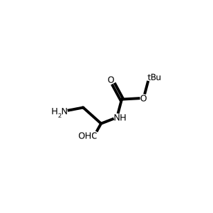 CC(C)(C)OC(=O)NC(C=O)CN